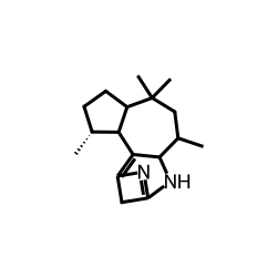 CC1CC(C)(C)C2CC[C@@H](C)C2C2=C3CC(=N3)NC21